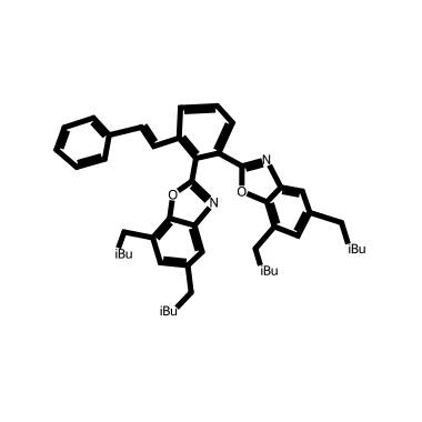 CCC(C)Cc1cc(CC(C)CC)c2oc(-c3cccc(C=Cc4ccccc4)c3-c3nc4cc(CC(C)CC)cc(CC(C)CC)c4o3)nc2c1